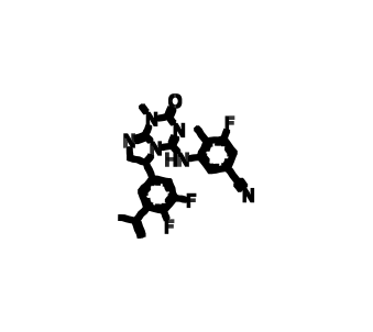 C=C(C)c1cc(C2CN=C3N(C)C(=O)N=C(Nc4cc(C#N)cc(F)c4C)N32)cc(F)c1F